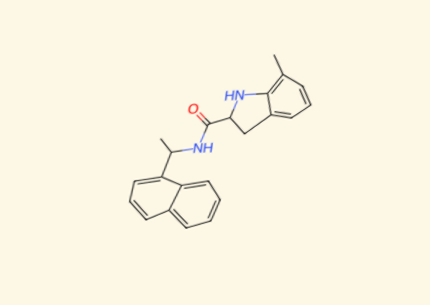 Cc1cccc2c1NC(C(=O)NC(C)c1cccc3ccccc13)C2